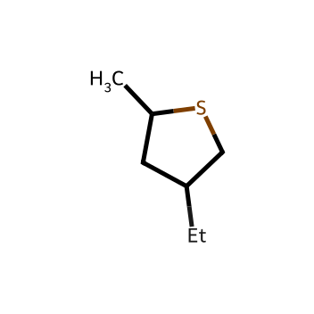 CCC1CSC(C)C1